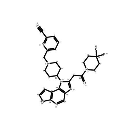 N#Cc1cccc(CN2CCC(n3c(CC(=O)N4CCC(F)(F)CC4)nc4cnc5[nH]ccc5c43)CC2)n1